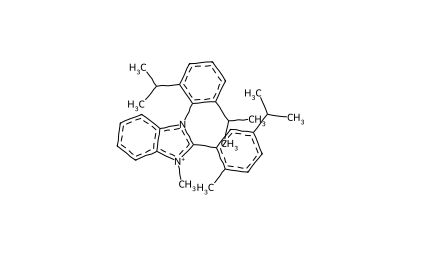 Cc1ccc(C(C)C)cc1-c1n(-c2c(C(C)C)cccc2C(C)C)c2ccccc2[n+]1C